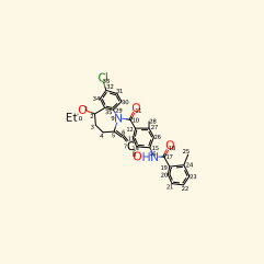 CCOC1CCC(=C=C=O)N(C(=O)c2ccc(NC(=O)c3ccccc3C)cc2C)c2ccc(Cl)cc21